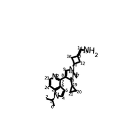 CC(C)n1ccc2c(-c3cn(C4CC(=CN)C4)nc3C3CC3)nccc21